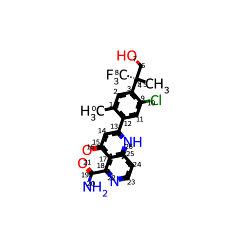 Cc1cc([C@](C)(CO)C(F)(F)F)c(Cl)cc1-c1cc(=O)c2c(C(N)=O)nccc2[nH]1